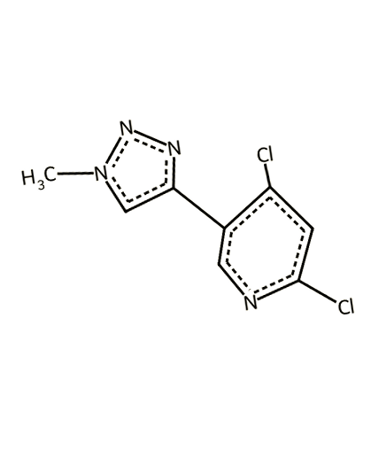 Cn1cc(-c2cnc(Cl)cc2Cl)nn1